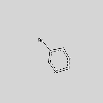 Brc1c[c]c[c]c1